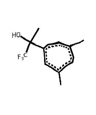 Cc1cc(C)cc(C(C)(O)C(F)(F)F)c1